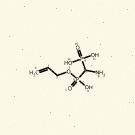 C=CCOP(=O)(O)C(N)P(=O)(O)O